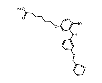 COC(=O)CCCCCOc1ccc([N+](=O)[O-])c(Nc2cccc(OCc3ccccc3)c2)c1